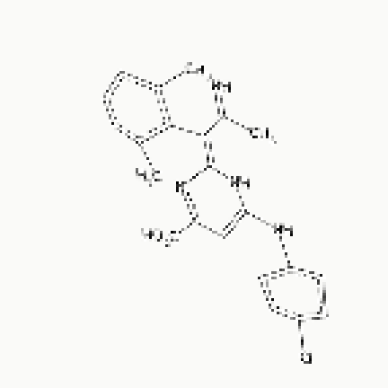 CC(=N)/C(=C1/N=C(C(=O)O)C=C(Nc2ccc(Cl)cc2)N1)c1c(C)cccc1C